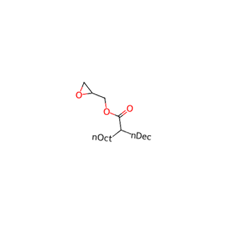 CCCCCCCCCCC(CCCCCCCC)C(=O)OCC1CO1